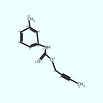 CC#CCOC(=O)Nc1cccc(C)c1